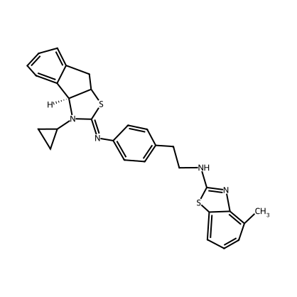 Cc1cccc2sc(NCCc3ccc(/N=C4\SC5Cc6ccccc6[C@@H]5N4C4CC4)cc3)nc12